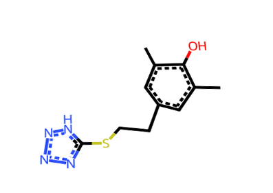 Cc1cc(CCSc2nnn[nH]2)cc(C)c1O